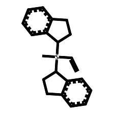 C=CS(C)(C1CCc2ccccc21)C1CCc2ccccc21